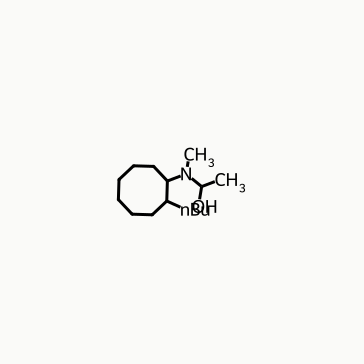 CCCCC1CCCCCCC1N(C)C(C)O